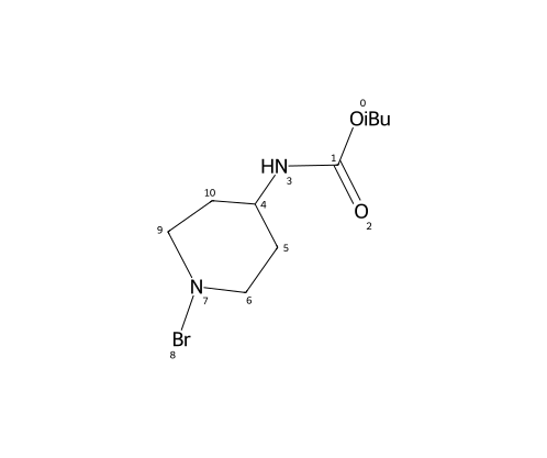 CC(C)COC(=O)NC1CCN(Br)CC1